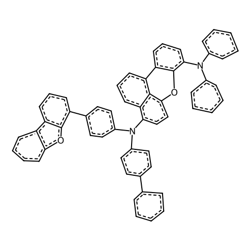 c1ccc(-c2ccc(N(c3ccc(-c4cccc5c4oc4ccccc45)cc3)c3ccc4c5c(cccc35)-c3cccc(N(c5ccccc5)c5ccccc5)c3O4)cc2)cc1